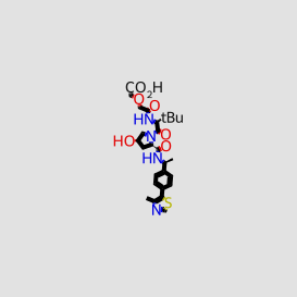 Cc1ncsc1-c1ccc([C@H](C)NC(=O)[C@@H]2C[C@@H](O)CN2C(=O)[C@@H](NC(=O)COCC(=O)O)C(C)(C)C)cc1